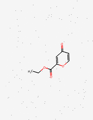 CCOC(=O)c1cc(=O)cco1